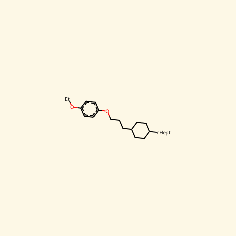 CCCCCCCC1CCC(CCCOc2ccc(OCC)cc2)CC1